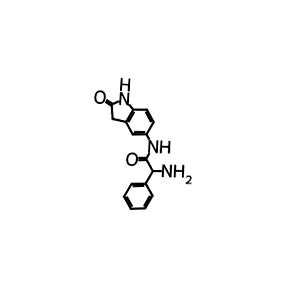 NC(C(=O)Nc1ccc2c(c1)CC(=O)N2)c1ccccc1